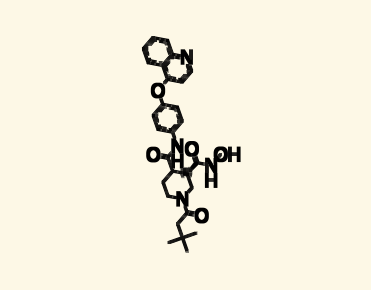 CC(C)(C)CC(=O)N1CCC(C(=O)Nc2ccc(Oc3ccnc4ccccc34)cc2)[C@@H](C(=O)NO)C1